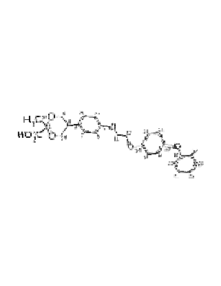 C[C@]1(C(=O)O)OC[C@@H](c2ccc(OCCOc3ccc(Oc4ccccc4)cc3)cc2)CO1